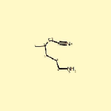 CC(CCCN)SC#N